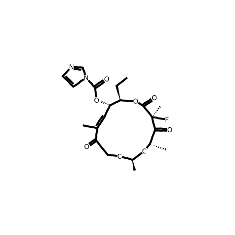 CC[C@H]1OC(=O)[C@@](C)(F)C(=O)[C@H](C)C[C@@H](C)CCC(=O)/C(C)=C/[C@@H]1OC(=O)n1ccnc1